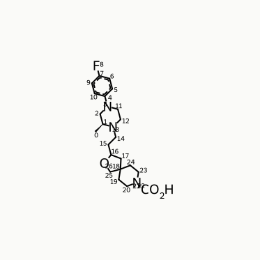 C[C@H]1CN(c2ccc(F)cc2)CCN1CCC1CC2(CCN(C(=O)O)CC2)CO1